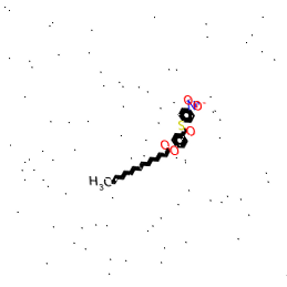 CCCCCCCCCCCCCCC(=O)Oc1ccc(C(=O)Sc2ccc([N+](=O)[O-])cc2)cc1